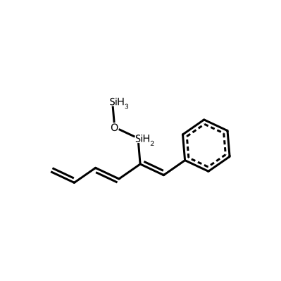 C=CC=CC(=Cc1ccccc1)[SiH2]O[SiH3]